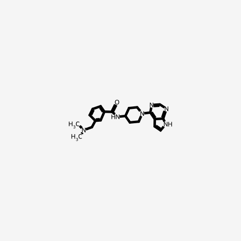 CN(C)Cc1cccc(C(=O)NC2CCN(c3ncnc4[nH]ccc34)CC2)c1